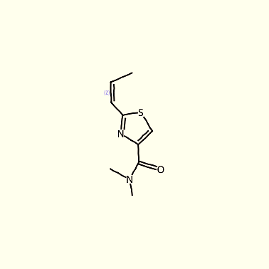 C/C=C\c1nc(C(=O)N(C)C)cs1